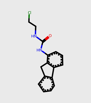 O=C(NCCCl)Nc1cccc2c1Cc1ccccc1-2